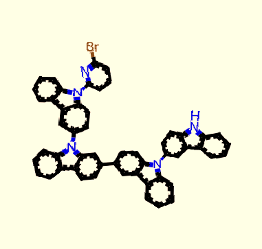 Brc1cccc(-n2c3ccccc3c3cc(-n4c5ccccc5c5ccc(-c6ccc7c(c6)c6ccccc6n7-c6ccc7[nH]c8ccccc8c7c6)cc54)ccc32)n1